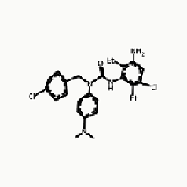 CCc1c(N)cc(Cl)c(CC)c1NC(=O)N(Cc1ccc(Cl)cc1)c1ccc(N(C)C)cc1